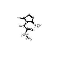 CC(C(=O)NN)N1C(=O)C=CC1=O.Cl